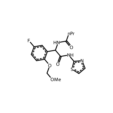 CCCC(=O)NC(C(=O)Nc1nccs1)c1cc(F)ccc1OCOC